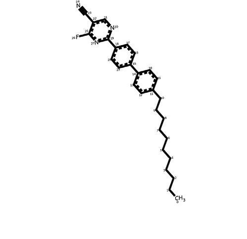 CCCCCCCCCCCc1ccc(-c2ccc(-c3ncc(C#N)c(F)n3)cc2)cc1